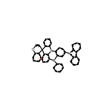 c1ccc(B2c3cc(-n4c5ccccc5c5ccccc54)ccc3N3c4ccccc4C4(c5ccccc5Oc5ccccc54)c4cccc2c43)cc1